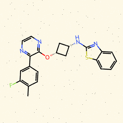 Cc1ccc(-c2nccnc2O[C@H]2C[C@@H](Nc3nc4ccccc4s3)C2)cc1F